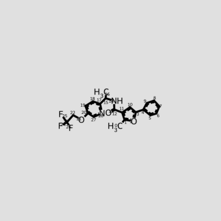 Cc1oc(-c2ccccc2)cc1C(=O)NC(C)c1ccc(OCC(F)(F)F)cn1